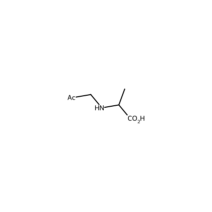 CC(=O)CNC(C)C(=O)O